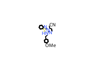 COc1ccc(CCNC2=NC=CC(CC#N)N2c2nc3ccccc3s2)cc1